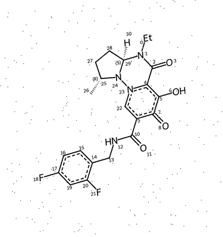 CCN1C(=O)c2c(O)c(=O)c(C(=O)NCc3ccc(F)cc3F)cn2N2[C@H](C)CC[C@@H]12